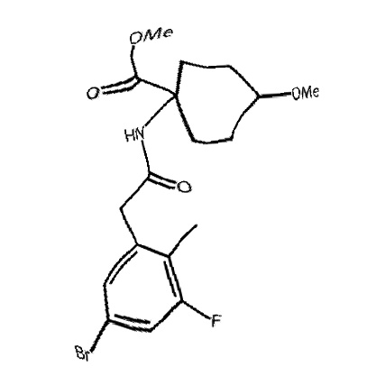 COC(=O)C1(NC(=O)Cc2cc(Br)cc(F)c2C)CCC(OC)CC1